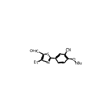 CCCCOc1ccc(-c2nc(CC)c(C=O)s2)cc1C#N